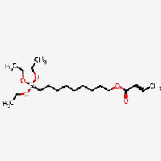 CC=CC(=O)OCCCCCCCCC[Si](OCC)(OCC)OCC